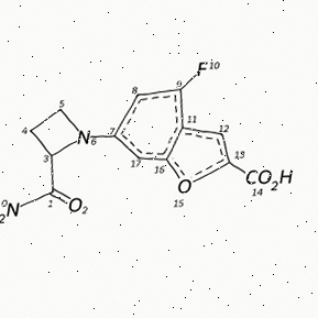 NC(=O)C1CCN1c1cc(F)c2cc(C(=O)O)oc2c1